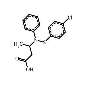 CC(CC(=O)O)N(Sc1ccc(Cl)cc1)c1ccccc1